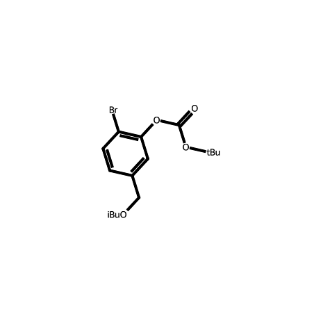 CC(C)COCc1ccc(Br)c(OC(=O)OC(C)(C)C)c1